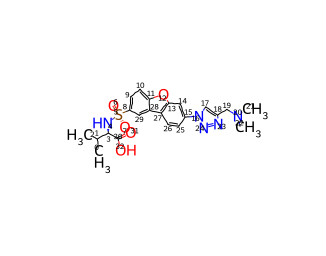 CC(C)[C@@H](NS(=O)(=O)c1ccc2oc3cc(-n4cc(CN(C)C)nn4)ccc3c2c1)C(=O)O